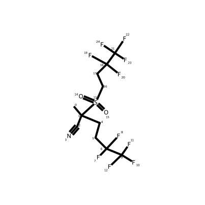 CC(C#N)(CCC(F)(F)C(F)(F)F)S(=O)(=O)CCC(F)(F)C(F)(F)F